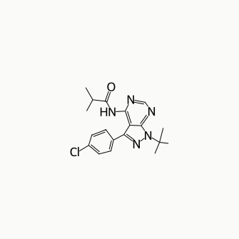 CC(C)C(=O)Nc1ncnc2c1c(-c1ccc(Cl)cc1)nn2C(C)(C)C